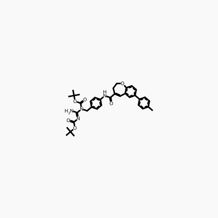 Cc1ccc(-c2ccc3c(c2)C=C(C(=O)Nc2ccc(CN(C(=O)OC(C)(C)C)C(N)=NC(=O)OC(C)(C)C)cc2)CCO3)cc1